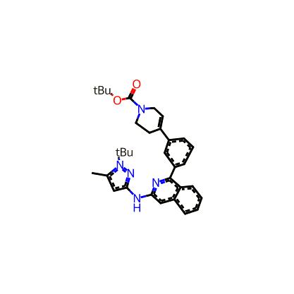 Cc1cc(Nc2cc3ccccc3c(-c3cccc(C4=CCN(C(=O)OC(C)(C)C)CC4)c3)n2)nn1C(C)(C)C